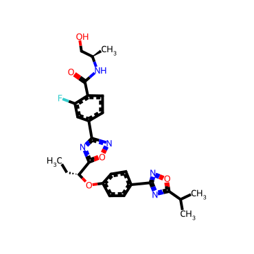 CC[C@@H](Oc1ccc(-c2noc(C(C)C)n2)cc1)c1nc(-c2ccc(C(=O)N[C@H](C)CO)c(F)c2)no1